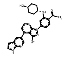 CC(C)c1nn(-c2ccc(C(N)=O)c(N[C@H]3CC[C@H](O)CC3)c2)c2nccc(-c3cnc4[nH]ccc4c3)c12